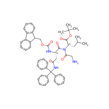 CC(C)C[C@@H](C(=O)OC(C)(C)C)N(C(=O)CN)C(=O)[C@H](CC(=O)NC(c1ccccc1)(c1ccccc1)c1ccccc1)NC(=O)OCC1c2ccccc2-c2ccccc21